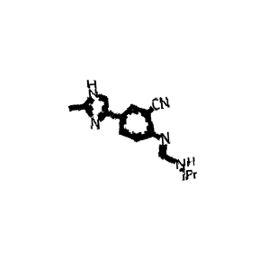 Cc1nc(-c2ccc(/N=C/NC(C)C)c(C#N)c2)c[nH]1